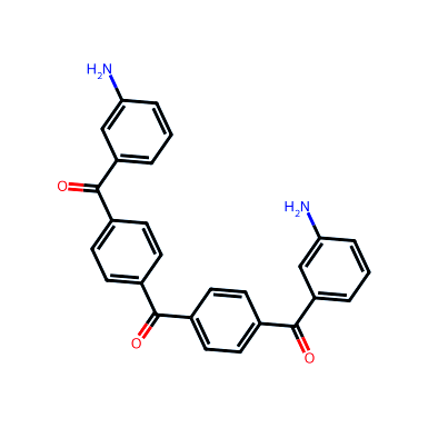 Nc1cccc(C(=O)c2ccc(C(=O)c3ccc(C(=O)c4cccc(N)c4)cc3)cc2)c1